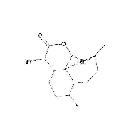 CC(C)C1C(=O)OC2OC3(C)CCC4C(C)CCC1C24OO3